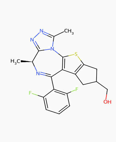 Cc1nnc2n1-c1sc3c(c1C(c1c(F)cccc1F)=N[C@H]2C)CC(CO)C3